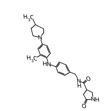 Cc1cc(N2CCC(C)CC2)ccc1Nc1ccc(CNC(=O)C2CNC(=O)C2)cc1